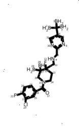 BC(B)(B)c1cnc(CNCC2(F)CCN(C(=O)c3ccc(F)c(Cl)c3)CC2(B)B)nc1